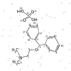 CN(C)CCOC(c1ccccc1)c1ccccc1.O=S(=O)(O)O